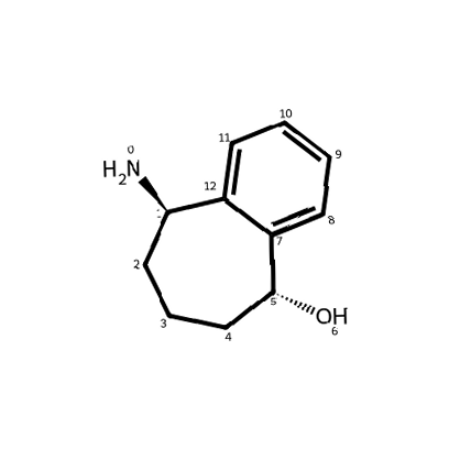 N[C@@H]1CCC[C@@H](O)c2ccccc21